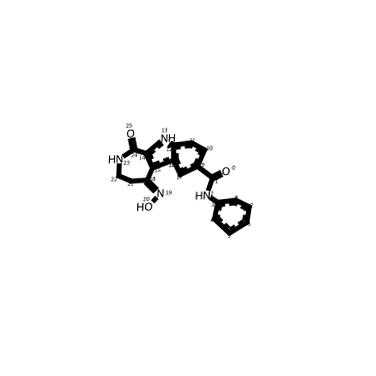 O=C(Nc1ccccc1)c1ccc2[nH]c3c(c2c1)C(=NO)CCNC3=O